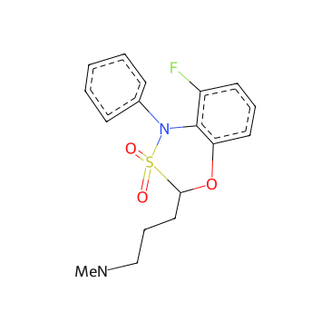 CNCCCC1Oc2cccc(F)c2N(c2ccccc2)S1(=O)=O